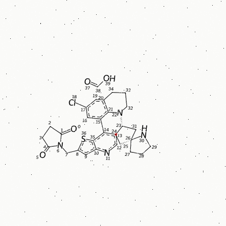 O=C1CCC(=O)N1Cc1cc2nccc(-c3cc(Cl)cc4c3N([C@H]3CC[C@]5(CCCN5)C3)CCC4)c2s1.O=CO